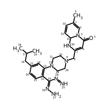 CC1=CN2C(=O)C=C(CN3CCN(c4cc(CC(C)C)ccc4/C(N=N)=N/N)CC3)NC2C=C1